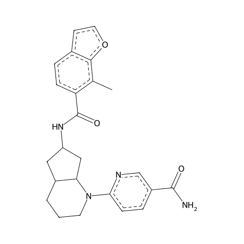 Cc1c(C(=O)NC2CC3CCCN(c4ccc(C(N)=O)cn4)C3C2)ccc2ccoc12